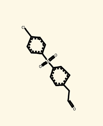 O=CCc1ccc(S(=O)(=O)c2ccc(Cl)cc2)cc1